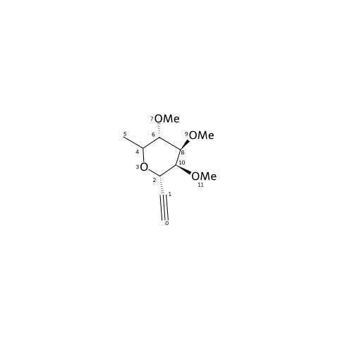 C#C[C@@H]1OC(C)[C@H](OC)[C@@H](OC)[C@H]1OC